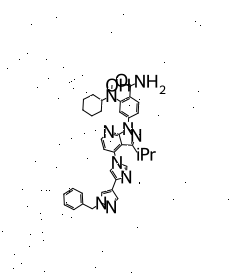 CC(C)c1nn(-c2ccc(C(N)=O)c(N(O)C3CCCCC3)c2)c2nccc(-n3cnc(-c4cnn(Cc5ccccc5)c4)c3)c12